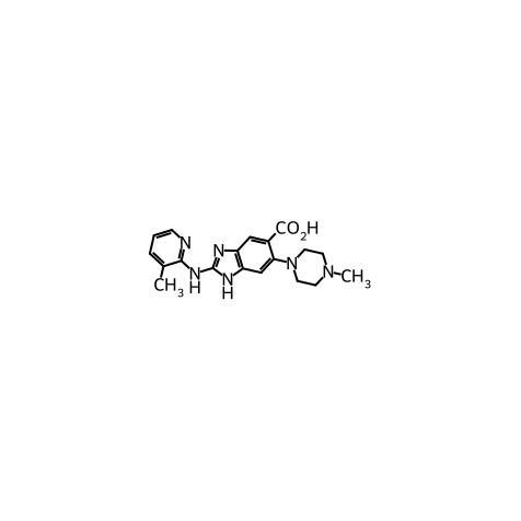 Cc1cccnc1Nc1nc2cc(C(=O)O)c(N3CCN(C)CC3)cc2[nH]1